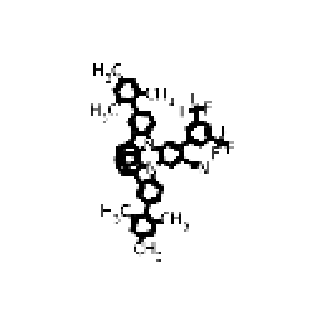 Cc1cc(C)c(-c2ccc3c(c2)c2ccccc2n3-c2cc(C#N)c(-c3cc(C(F)(F)F)cc(C(F)(F)F)c3)cc2-n2c3ccccc3c3cc(-c4c(C)cc(C)cc4C)ccc32)c(C)c1